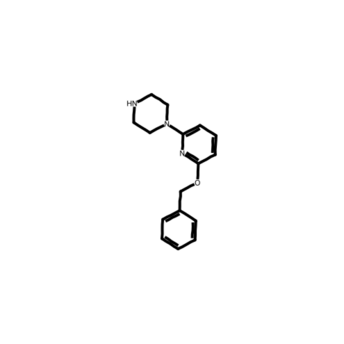 c1ccc(COc2cccc(N3CCNCC3)n2)cc1